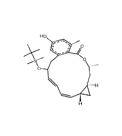 Cc1cc(O)cc2c1C(=O)O[C@H](C)C[C@H]1C[C@@H]1/C=C\C=C\C(O[Si](C)(C)C(C)(C)C)C2